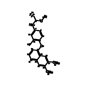 CCOC(Nc1ccc(Oc2ccnc3cc(OC)c(OC)cc23)c(F)c1)C(F)(F)F